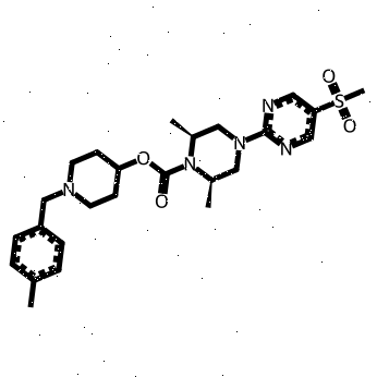 Cc1ccc(CN2CCC(OC(=O)N3[C@H](C)CN(c4ncc(S(C)(=O)=O)cn4)C[C@@H]3C)CC2)cc1